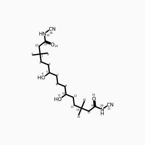 CC(C)(CCC(O)CCCC(O)CCC(C)(C)CC(=O)NC#N)CC(=O)NC#N